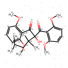 COc1cccc(OC)c1C(=O)C(O)(C(=O)c1c(OC)cccc1OC)C(C)(C)CC(C)C